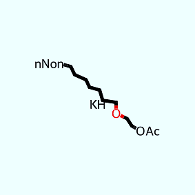 CCCCCCCCCCCCCCCCOCCOC(C)=O.[KH]